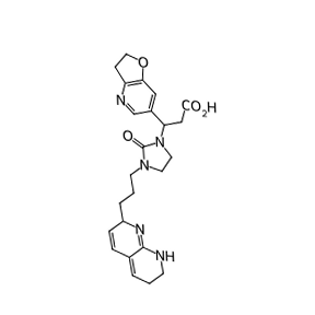 O=C(O)CC(c1cnc2c(c1)OCC2)N1CCN(CCCC2C=CC3=CCCNC3=N2)C1=O